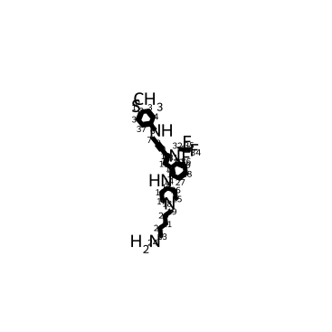 CSc1ccc(NCC#Cc2cc3c(NC4CCN(CCCCCN)CC4)cccc3n2CC(F)(F)F)cc1